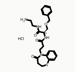 Cl.NCCNC(=O)[C@@H](COCc1ccccc1)NC(=O)CCN1C(=O)CCSc2ccccc21